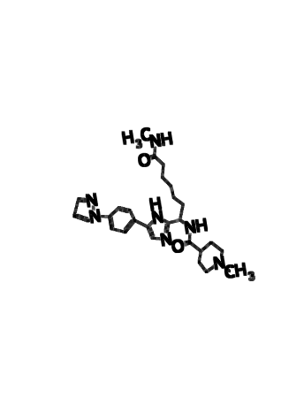 CNC(=O)CCCCCC(NC(=O)C1CCN(C)CC1)c1ncc(-c2ccc(-n3cccn3)cc2)[nH]1